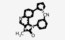 Cn1c(=O)n(-c2cccc(C#N)c2)c2c3cc(-c4cccs4)ccc3ncc21